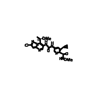 CONC(=O)c1ncc(NC(=O)Nc2cnc3cc(Cl)nn3c2[C@H](C)OC)cc1C1CC1